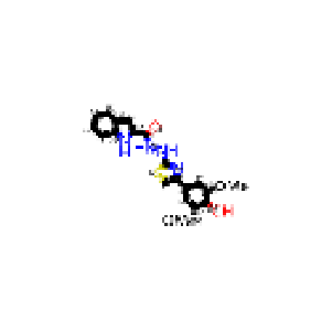 COc1cc(-c2csc(NNC(=O)c3cc4ccccc4[nH]3)n2)cc(OC)c1O